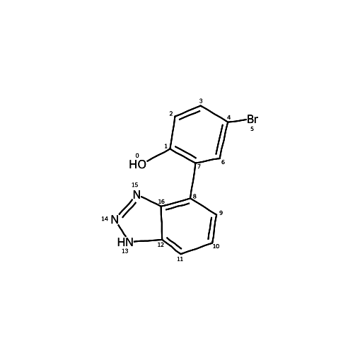 Oc1ccc(Br)cc1-c1cccc2[nH]nnc12